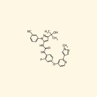 Cn1cc(-c2cc(Oc3ccc(NC(=O)Nc4cc(C(C)(C)O)nn4-c4cccc(C#N)c4)c(F)c3)ccn2)cn1